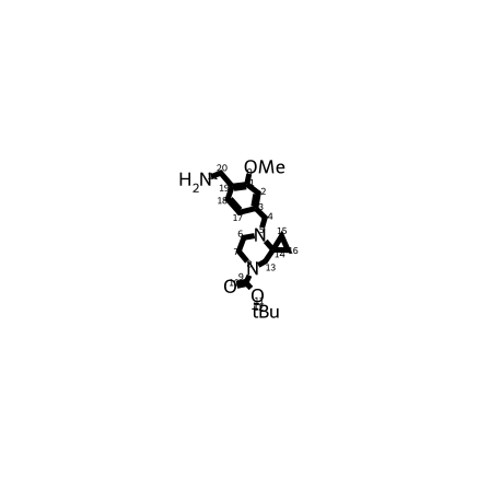 COc1cc(CN2CCN(C(=O)OC(C)(C)C)CC23CC3)ccc1CN